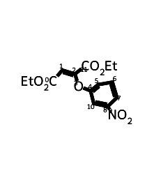 CCOC(=O)/C=C(\Oc1cccc([N+](=O)[O-])c1)C(=O)OCC